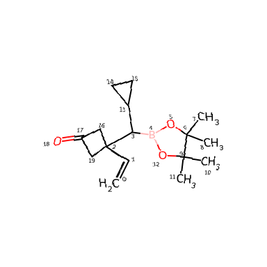 C=CC1(C(B2OC(C)(C)C(C)(C)O2)C2CC2)CC(=O)C1